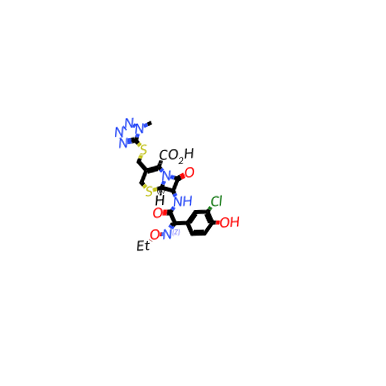 CCO/N=C(\C(=O)NC1C(=O)N2C(C(=O)O)=C(CSc3nnnn3C)CS[C@H]12)c1ccc(O)c(Cl)c1